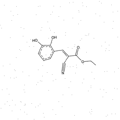 CCOC(=O)/C(C#N)=C/c1cccc(O)c1O